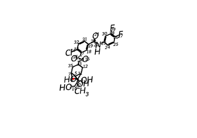 C[C@H](O)[C@@H](O)[C@@]1(O)C2CC(O)C1CC(S(=O)(=O)c1cc(C(=O)Nc3ccc(F)c(F)c3)ccc1Cl)C2